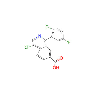 O=C(O)c1ccc2c(Cl)cnc(-c3cc(F)ccc3F)c2c1